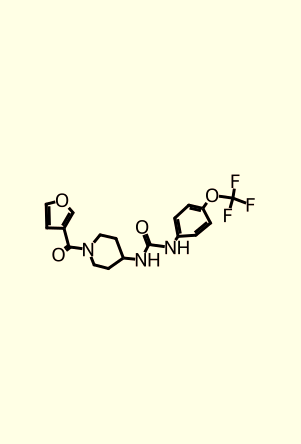 O=C(Nc1ccc(OC(F)(F)F)cc1)NC1CCN(C(=O)c2ccoc2)CC1